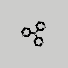 c1cncc(P(c2cccnc2)c2cccnc2)c1